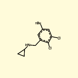 CCCCc1cc(Cl)c(Cl)c(CNC2CC2)c1